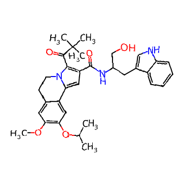 COc1cc2c(cc1OC(C)C)-c1cc(C(=O)NC(CO)Cc3c[nH]c4ccccc34)c(C(=O)C(C)(C)C)n1CC2